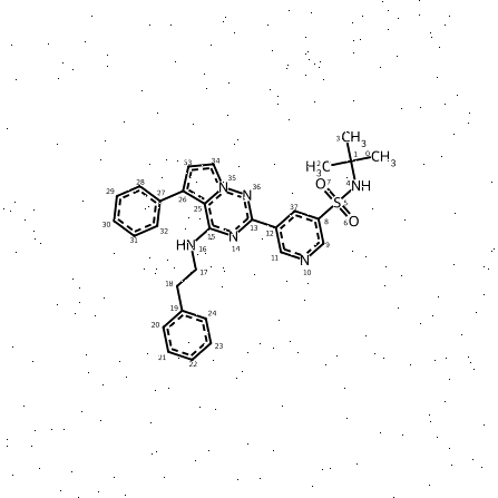 CC(C)(C)NS(=O)(=O)c1cncc(-c2nc(NCCc3ccccc3)c3c(-c4ccccc4)ccn3n2)c1